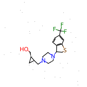 OC[C@@H]1CC1CN1CCN(C2CSc3cc(C(F)(F)F)ccc32)CC1